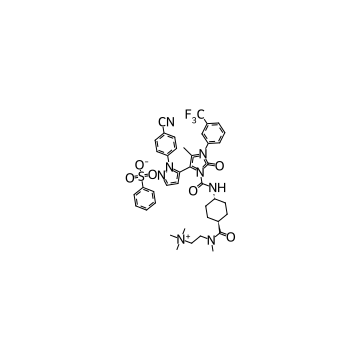 Cc1c(-c2ccnn2-c2ccc(C#N)cc2)n(C(=O)N[C@H]2CC[C@H](C(=O)N(C)CC[N+](C)(C)C)CC2)c(=O)n1-c1cccc(C(F)(F)F)c1.O=S(=O)([O-])c1ccccc1